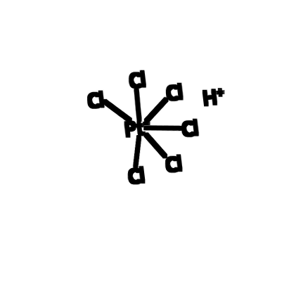 [Cl][Pt-]([Cl])([Cl])([Cl])([Cl])[Cl].[H+]